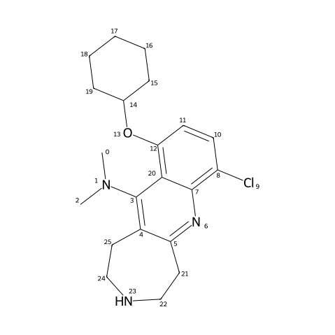 CN(C)c1c2c(nc3c(Cl)ccc(OC4CCCCC4)c13)CCNCC2